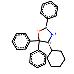 c1ccc(B2N[C@H](C3CCCCC3)C(c3ccccc3)(c3ccccc3)O2)cc1